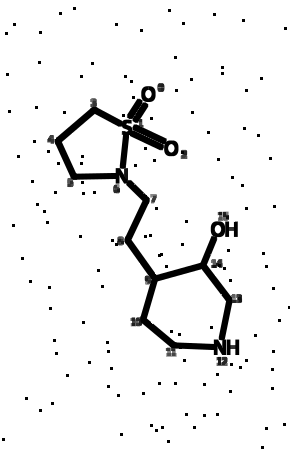 O=S1(=O)CCCN1CCC1CCNCC1O